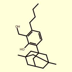 CCCCc1ccc(C23CC4CC(C)(CC(C)(C4)C2)C3)c(O)c1CO